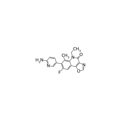 CCn1c(=O)c2ncoc2c2cc(F)c(-c3ccc(N)nc3)c(C)c21